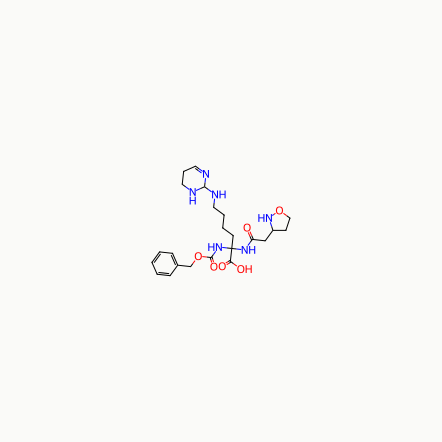 O=C(CC1CCON1)NC(CCCCNC1N=CCCN1)(NC(=O)OCc1ccccc1)C(=O)O